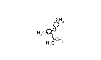 CC(C)=CCc1cc(C)ccc1OC1CCN(C)CC1